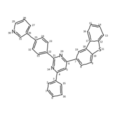 c1ccc(-c2cc(-c3ccc4sc5ccccc5c4c3)nc(-c3ccc(-c4cccnc4)cc3)n2)cc1